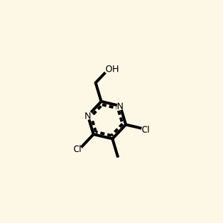 Cc1c(Cl)nc(CO)nc1Cl